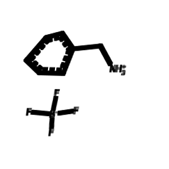 F[B-](F)(F)F.[NH3+]Cc1ccccc1